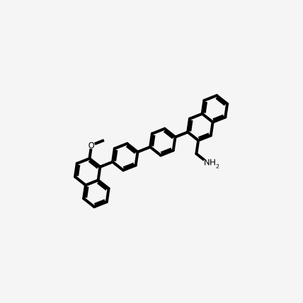 COc1ccc2ccccc2c1-c1ccc(-c2ccc(-c3cc4ccccc4cc3CN)cc2)cc1